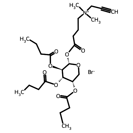 C#CC[N+](C)(C)CCCC(=O)O[C@@H]1OC[C@H](OC(=O)CCC)[C@H](OC(=O)CCC)[C@H]1OC(=O)CCC.[Br-]